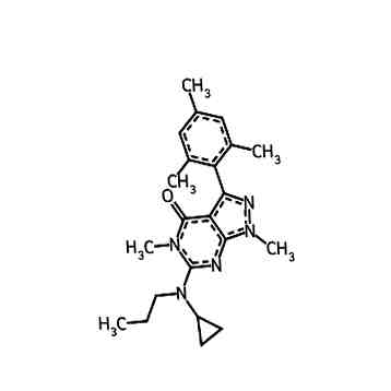 CCCN(c1nc2c(c(-c3c(C)cc(C)cc3C)nn2C)c(=O)n1C)C1CC1